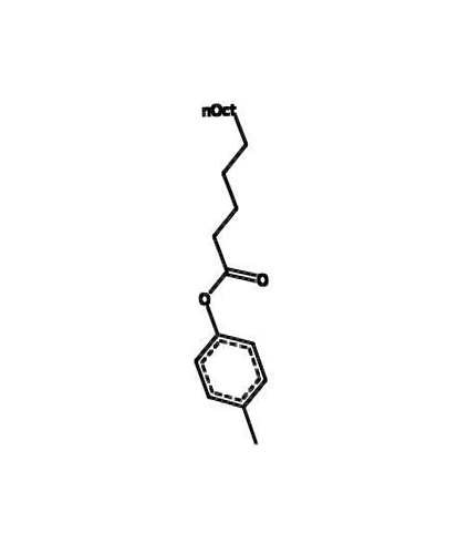 CCCCCCCCCCCCC(=O)Oc1ccc(C)cc1